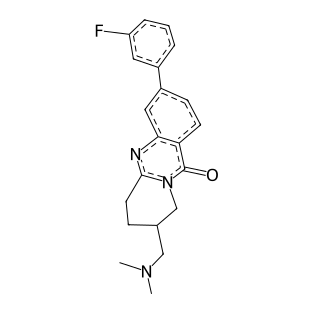 CN(C)CC1CCc2nc3cc(-c4cccc(F)c4)ccc3c(=O)n2C1